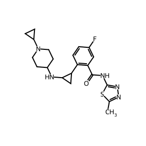 Cc1nnc(NC(=O)c2cc(F)ccc2C2CC2NC2CCN(C3CC3)CC2)s1